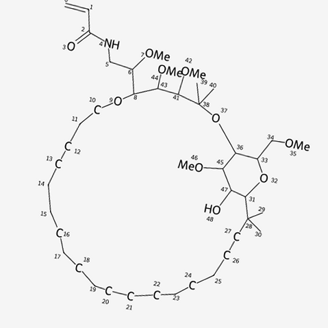 C=CC(=O)NCC(OC)C1OCCCCCCCCCCCCCCCCCCC(C)(C)C2OC(COC)C(OC(C)(C)C(OC)C1OC)C(OC)C2O